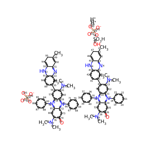 CC1=CC2=Nc3cc(-c4cc5c(cc4N(C)C)n(-c4ccccc4)c4cc(=O)c(N(C)C)cc-4[n+]5-c4ccccc4)ccc3NC2=CC1.CC1=CC2=Nc3cc(-c4cc5c(cc4N(C)C)n(-c4ccccc4)c4cc(=O)c(N(C)C)cc-4[n+]5-c4ccccc4)ccc3NC2=CC1.O=S(=O)(O)O.O=S(=O)([O-])[O-].O=S(=O)([O-])[O-].[H+].[H+]